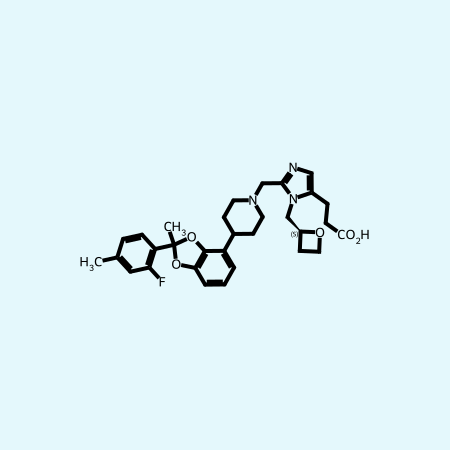 Cc1ccc(C2(C)Oc3cccc(C4CCN(Cc5ncc(CCC(=O)O)n5C[C@@H]5CCO5)CC4)c3O2)c(F)c1